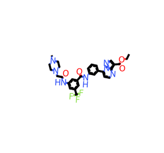 CCOC(=O)c1cnn2c(-c3cccc(NC(=O)c4cc(NC(=O)CN5CCN(C)CC5)cc(C(F)(F)F)c4)c3)ccnc12